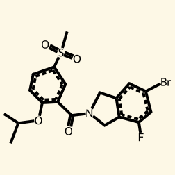 CC(C)Oc1ccc(S(C)(=O)=O)cc1C(=O)N1Cc2cc(Br)cc(F)c2C1